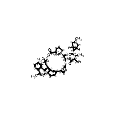 CCn1c(-c2cccnc2[C@H](C)OC)c2c3cc(ccc31)-c1csc(n1)C[C@H](NC(=O)C(C(C)C)N(C)C(=O)[C@@H]1[C@@H]3CN(C)C[C@@H]31)C(=O)N1CCC[C@H](N1)C(=O)OCC(C)(C)C2